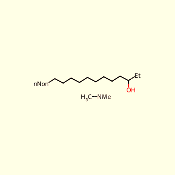 CNC.[CH2]CC(O)CCCCCCCCCCCCCCCCCC